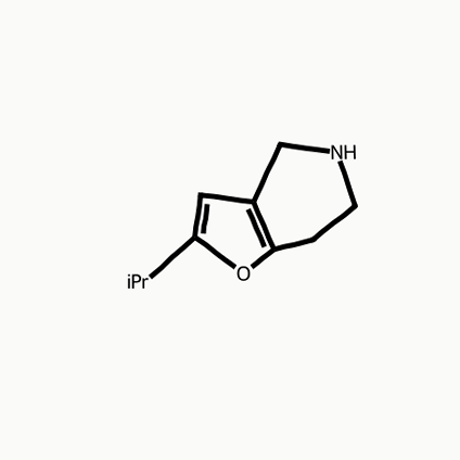 CC(C)c1cc2c(o1)CCNC2